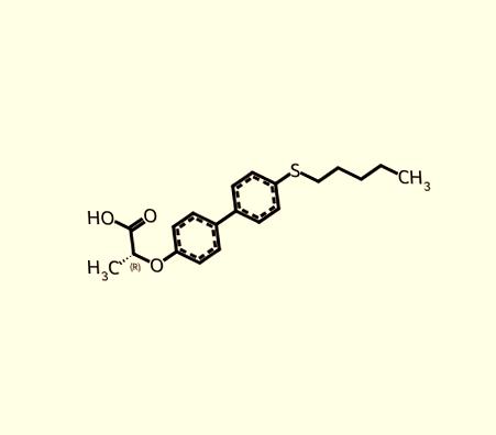 CCCCCSc1ccc(-c2ccc(O[C@H](C)C(=O)O)cc2)cc1